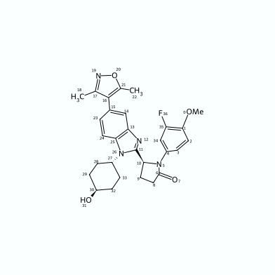 COc1ccc(N2C(=O)CC[C@H]2c2nc3cc(-c4c(C)noc4C)ccc3n2[C@H]2CC[C@H](O)CC2)cc1F